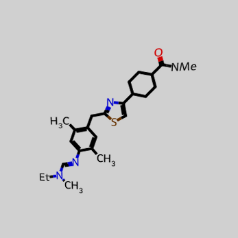 CCN(C)/C=N/c1cc(C)c(Cc2nc(C3CCC(C(=O)NC)CC3)cs2)cc1C